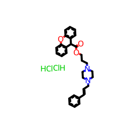 Cl.Cl.O=C(OCCCN1CCN(CC=Cc2ccccc2)CC1)C1c2ccccc2Oc2ccccc21